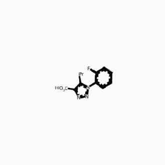 CC(C)c1c(C(=O)O)nnn1-c1ccccc1F